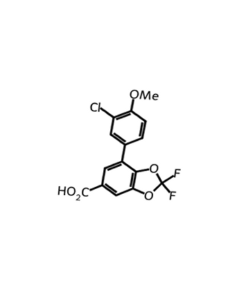 COc1ccc(-c2cc(C(=O)O)cc3c2OC(F)(F)O3)cc1Cl